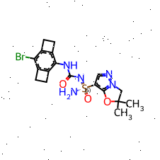 CC1(C)Cn2ncc([S@@](N)(=O)=NC(=O)Nc3c4c(c(Br)c5c3CC5)CC4)c2O1